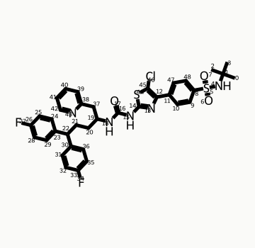 CC(C)(C)NS(=O)(=O)c1ccc(-c2nc(NC(=O)NC(CCC(c3ccc(F)cc3)c3ccc(F)cc3)Cc3ccccn3)sc2Cl)cc1